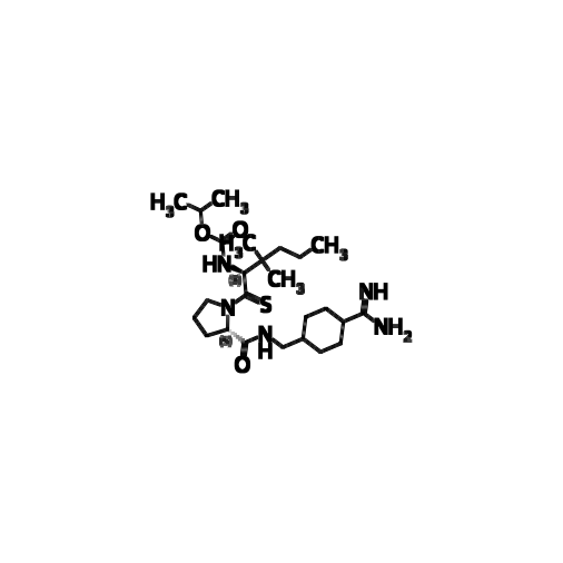 CCCC(C)(C)[C@H](NC(=O)OC(C)C)C(=S)N1CCC[C@H]1C(=O)NCC1CCC(C(=N)N)CC1